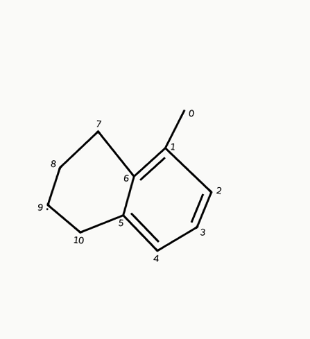 Cc1cccc2c1CC[CH]C2